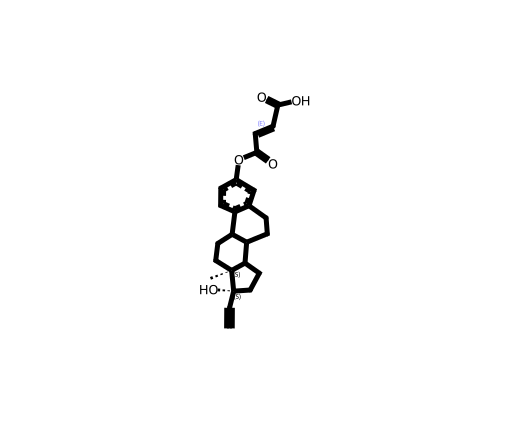 C#C[C@]1(O)CCC2C3CCc4cc(OC(=O)/C=C/C(=O)O)ccc4C3CC[C@@]21C